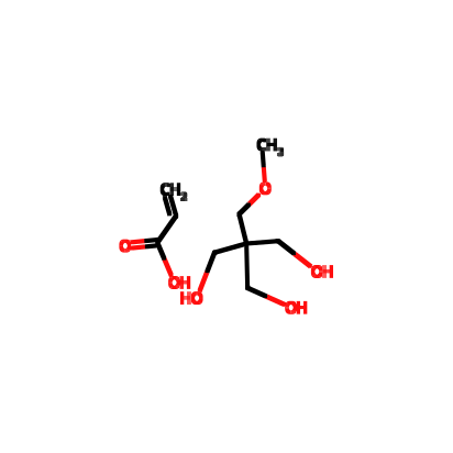 C=CC(=O)O.COCC(CO)(CO)CO